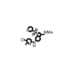 CNCc1cn(S(=O)(=O)c2cccnc2)c2cc(Nc3ccc(Cl)c(C)n3)ccc12